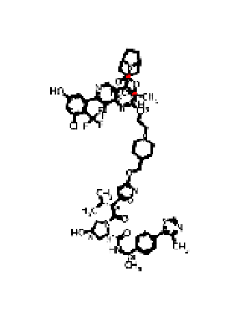 Cc1ncsc1-c1ccc([C@H](C)NC(=O)[C@@H]2C[C@@H](O)CN2C(=O)[C@@H](c2cc(OCC3CCN(CCOc4nc(N5CC6CCC(C5)N6C(=O)OC(C)(C)C)c5cnc(-c6cc(O)cc(Cl)c6C(F)(F)F)c(F)c5n4)CC3)no2)C(C)C)cc1